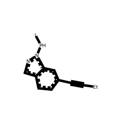 CCC#Cc1ccc2cnn(PI)c2c1